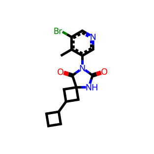 Cc1c(Br)cncc1N1C(=O)NC2(CC(C3CCC3)C2)C1=O